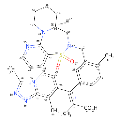 C/C(C(=O)O)=C(/c1ccc(C)c(CN2C[C@@H]3CCCCN3c3ncccc3S2(=O)=O)c1)c1ccn2c(C(F)(F)F)nnc2c1C